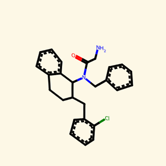 NCC(=O)N(Cc1ccccc1)C1c2ccccc2CCC1Cc1ccccc1Cl